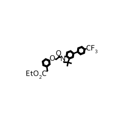 CCOC(=O)Cc1cccc(OCC(=O)N2CC(C)(C)c3cc(-c4ccc(C(F)(F)F)cc4)ccc32)c1